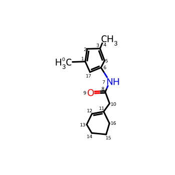 Cc1cc(C)cc(NC(=O)CC2=CCCCC2)c1